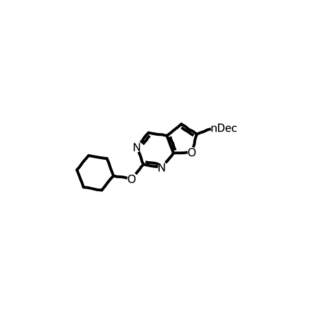 CCCCCCCCCCc1cc2cnc(OC3CCCCC3)nc2o1